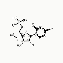 C[C@H]1[C@@H](Cl)[C@H](n2ccc(=O)[nH]c2=O)O[C@]1(CO)CO[Si](C)(C)C(C)(C)C